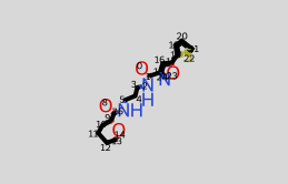 O=C(NCCCNC(=O)C1CCCCO1)c1cc(-c2cccs2)on1